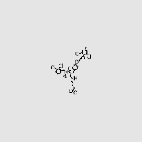 COC(=O)CCCCNCC(Cc1ccc(OCCOc2c(Cl)cc(C)cc2Cl)cc1)C(=O)N(Cc1cccc(Cl)c1Cl)C1CC1